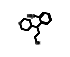 O=C(O)c1ccccc1C(CCO)C1CCOCC1